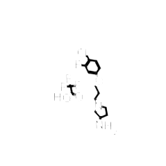 NC1CCN(CCCOc2ccc(Cl)c(F)c2)C1.O=C(O)C(F)(F)F